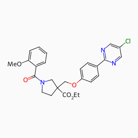 CCOC(=O)C1(COc2ccc(-c3ncc(Cl)cn3)cc2)CCN(C(=O)c2ccccc2OC)C1